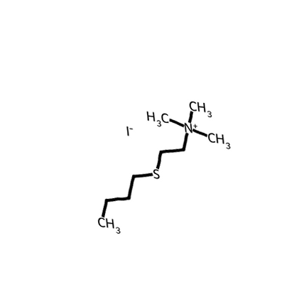 CCCCSCC[N+](C)(C)C.[I-]